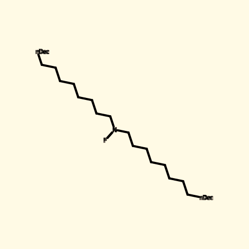 CCCCCCCCCCCCCCCCCCN(F)CCCCCCCCCCCCCCCCCC